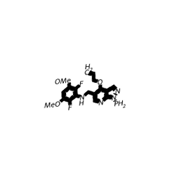 C=CCOc1c(CNc2c(F)c(OC)cc(OC)c2F)cnc2c1cnn2P